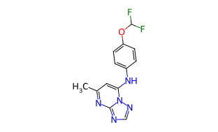 Cc1cc(Nc2ccc(OC(F)F)cc2)n2ncnc2n1